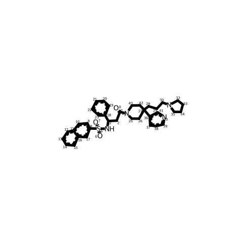 O=C(CC(NS(=O)(=O)c1ccc2ccccc2c1)c1ccccc1)N1CCC(CCCN2CCCC2)(c2cccnc2)CC1